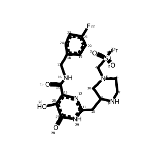 CC(C)S(=O)(=O)CN1CCNC(Cc2nc(C(=O)NCc3ccc(F)cc3)c(O)c(=O)[nH]2)C1